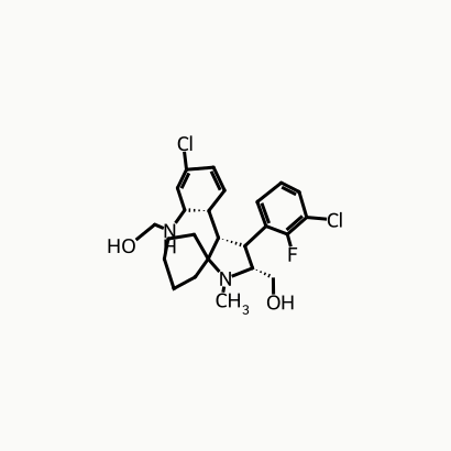 CN1[C@@H](CO)C(c2cccc(Cl)c2F)[C@@H]([C@H]2C=CC(Cl)=CC2NCO)C12CCCCC2